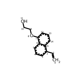 C=Cc1cccc2c(OCCO)cccc12